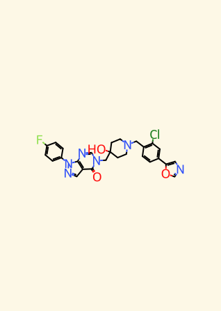 O=c1c2cnn(-c3ccc(F)cc3)c2ncn1CC1(O)CCN(Cc2ccc(-c3cnco3)cc2Cl)CC1